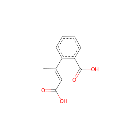 CC(=CC(=O)O)c1ccccc1C(=O)O